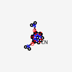 N#Cc1ccc(-c2c(-n3c4ccccc4c4ccccc43)c(-n3c4ccccc4c4cc(OCCCn5c6ccccc6c6ccccc65)ccc43)c(-n3c4ccccc4c4ccccc43)c(-n3c4ccccc4c4cc(OCCCn5c6ccccc6c6ccccc65)ccc43)c2-n2c3ccccc3c3ccccc32)cc1